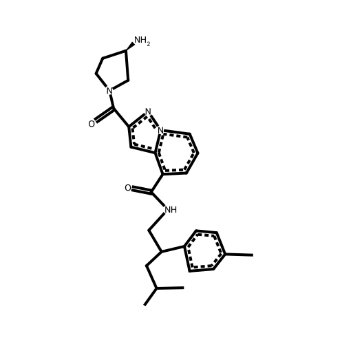 Cc1ccc(C(CNC(=O)c2cccn3nc(C(=O)N4CC[C@@H](N)C4)cc23)CC(C)C)cc1